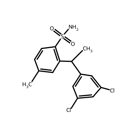 Cc1ccc(S(N)(=O)=O)c(C(C)c2cc(Cl)cc(Cl)c2)c1